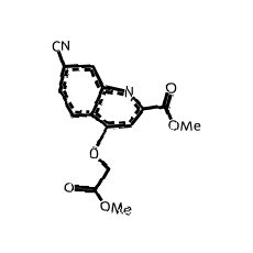 COC(=O)COc1cc(C(=O)OC)nc2cc(C#N)ccc12